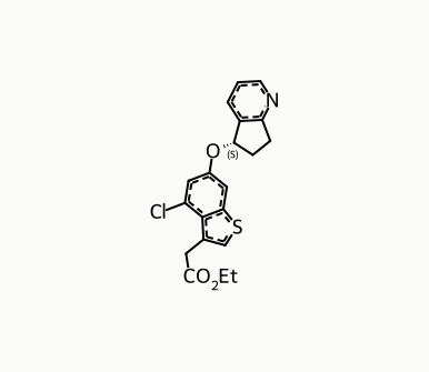 CCOC(=O)Cc1csc2cc(O[C@H]3CCc4ncccc43)cc(Cl)c12